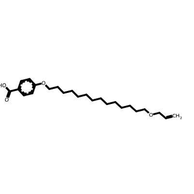 C=CCOCCCCCCCCCCCCCCOc1ccc(C(=O)O)cc1